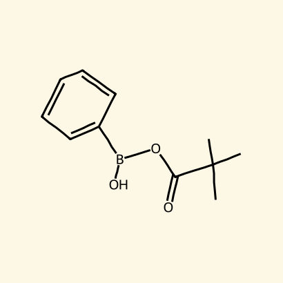 CC(C)(C)C(=O)OB(O)c1ccccc1